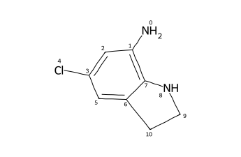 Nc1cc(Cl)cc2c1NCC2